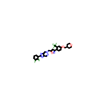 Fc1cccc(-c2nc3cnn(Cc4cc(-c5ccc(OCC6CCOCC6)cc5C(F)(F)F)no4)cc-3n2)c1F